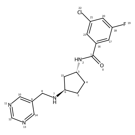 O=C(N[C@@H]1CC[C@@H](NCc2cncnc2)C1)c1cc(F)cc(Cl)c1